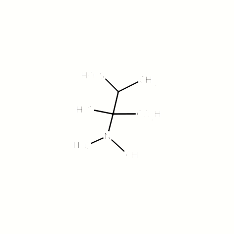 CC(C(C)(C(=O)O)N(C)C)S(=O)(=O)O